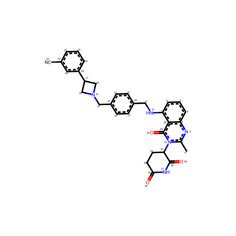 Cc1nc2cccc(NCc3ccc(CN4CC(c5cccc(C#N)c5)C4)cc3)c2c(=O)n1C1CCC(=O)NC1=O